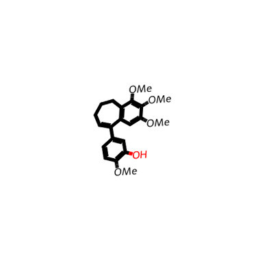 COc1ccc(C2=CCCCc3c2cc(OC)c(OC)c3OC)cc1O